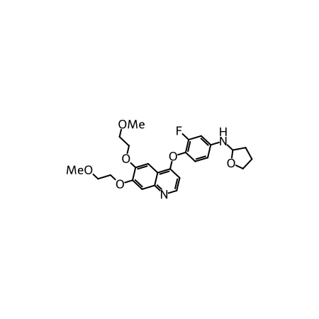 COCCOc1cc2nccc(Oc3ccc(NC4CCCO4)cc3F)c2cc1OCCOC